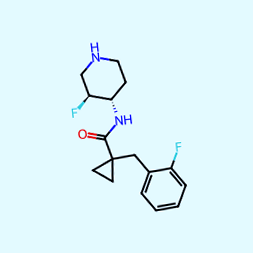 O=C(N[C@H]1CCNC[C@@H]1F)C1(Cc2ccccc2F)CC1